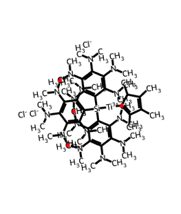 CC1=C(C)C(C)[C]([Ti+3][Si](c2c(N(C)C)c(N(C)C)c(N(C)C)c(N(C)C)c2N(C)C)(c2c(N(C)C)c(N(C)C)c(N(C)C)c(N(C)C)c2N(C)C)c2c(N(C)C)c(N(C)C)c(N(C)C)c(N(C)C)c2N(C)C)=C1C.[Cl-].[Cl-].[Cl-]